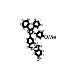 COc1ccc(-n2c(-c3ccc4c(c3)N3Cc5ccc(Br)cc5N(C4)C3)nc(-c3ccccc3)c2-c2ccccc2)cc1